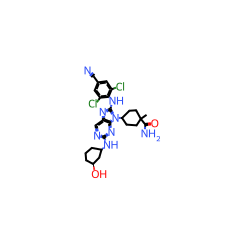 CC1(C(N)=O)CCC(n2c(Nc3c(Cl)cc(C#N)cc3Cl)nc3cnc(N[C@@H]4CCC[C@H](O)C4)nc32)CC1